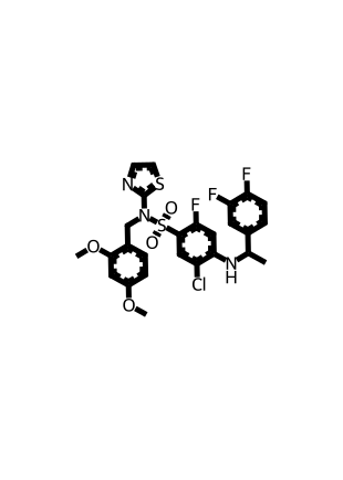 COc1ccc(CN(c2nccs2)S(=O)(=O)c2cc(Cl)c(NC(C)c3ccc(F)c(F)c3)cc2F)c(OC)c1